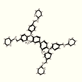 Cc1cc(-c2ccc(N(c3ccc(COC4CCCCO4)cc3)c3ccc(COC4CCCCO4)cc3)c(C)c2)ccc1N(c1ccc(COC2CCCCO2)cc1)c1ccc(COC2CCCCO2)cc1